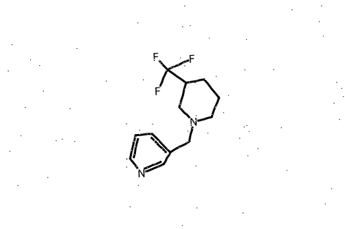 FC(F)(F)C1CCCN(Cc2cc[c]nc2)C1